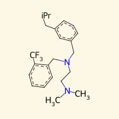 CC(C)Cc1cccc(CN(CCN(C)C)Cc2ccccc2C(F)(F)F)c1